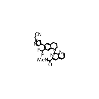 CNC(=O)c1cc2cccnc2c(N2CCCc3cc(-c4cnn(CC#N)c4)c(C(F)F)cc32)n1